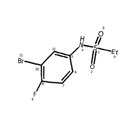 CCS(=O)(=O)Nc1ccc(F)c(Br)c1